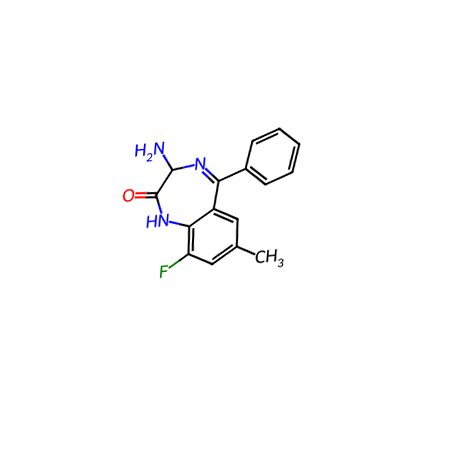 Cc1cc(F)c2c(c1)C(c1ccccc1)=NC(N)C(=O)N2